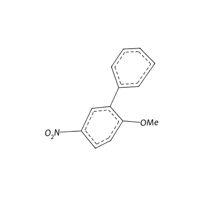 COc1ccc([N+](=O)[O-])cc1-c1ccccc1